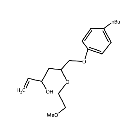 C=CC(O)CC(COc1ccc(CCCC)cc1)OCCOC